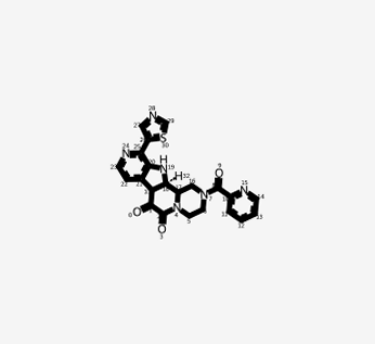 O=C1C(=O)N2CCN(C(=O)c3ccccn3)CC2[C@@H]2Nc3c(ccnc3-c3cncs3)C12